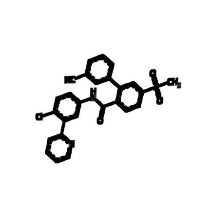 CS(=O)(=O)c1ccc(C(=O)Nc2ccc(Cl)c(-c3ccccn3)c2)c(-c2cccc(C#N)c2)c1